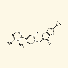 Nc1nccc(-c2ccc(CN3Cc4cc(C5CC5)sc4C3=O)c(F)c2)c1[N+](=O)[O-]